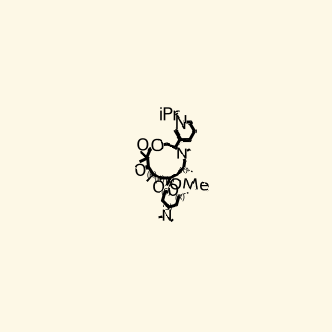 CO[C@]1(C)C[C@@H](C)CN(C)C(C2CCCN(C(C)C)C2)COC(=O)C(C)(C)C(=O)[C@H](C)[C@H]1O[C@H]1C[C@@H](N(C)C)C[C@@H](C)O1